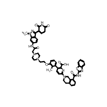 Cc1c(OCCN2CCN(CC(=O)Nc3ccc4c(C5CCC(=O)NC5=O)nn(C)c4c3)CC2)cccc1-c1ccc(N2CCc3cccc(C(=O)Nc4nc5ccccc5s4)c3C2)nc1C(=O)O